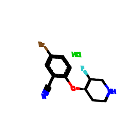 Cl.N#Cc1cc(Br)ccc1O[C@H]1CCNC[C@@H]1F